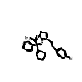 NC(=O)C(C[C@@H]1CCCN1CCc1ccc(Cl)cc1)(c1ccccc1)c1ccccc1